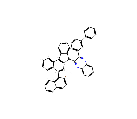 c1ccc(-c2cccc(-c3nc4ccccc4nc3C3c4ccccc4-c4c3c3sc5ccc6ccccc6c5c3c3ccccc43)c2)cc1